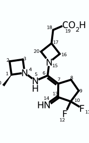 C[C@H]1CCN1N/C(=C1/CCC(F)(F)C1=N)N1CC(CC(=O)O)C1